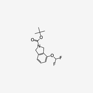 CC(C)(C)OC(=O)N1Cc2cccc(OC(F)F)c2C1